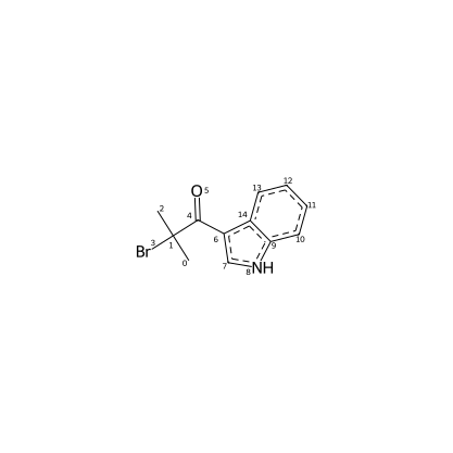 CC(C)(Br)C(=O)c1c[nH]c2ccccc12